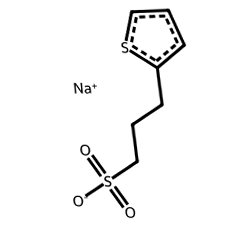 O=S(=O)([O-])CCCc1cccs1.[Na+]